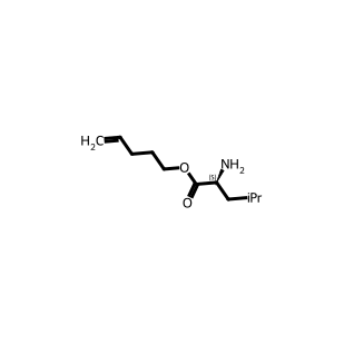 C=CCCCOC(=O)[C@@H](N)CC(C)C